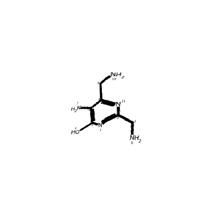 NCc1nc(O)c(N)c(CN)n1